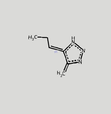 C=c1nn[nH]/c1=C\CC